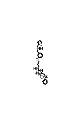 Cn1nc(CS(=O)(=O)c2ccccc2)nc1NCCCOc1cccc(CNCc2ccco2)c1